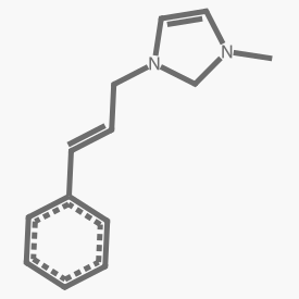 CN1C=CN(C/C=C/c2ccccc2)C1